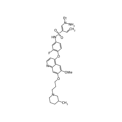 C=C/C(=C\N(N)CC)S(=O)(=O)Nc1ccc(Oc2ccnc3cc(OCCCN4CCCC(C)C4)c(OC)cc23)c(F)c1